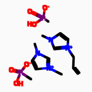 C=CC[n+]1ccn(C)c1.CP(=O)([O-])O.CP(=O)([O-])O.Cn1cc[n+](C)c1